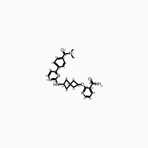 CN(C)C(=O)c1ccc(-c2ccnc(NC3CC4(C3)CC(Oc3ncccc3C(N)=O)C4)n2)cc1